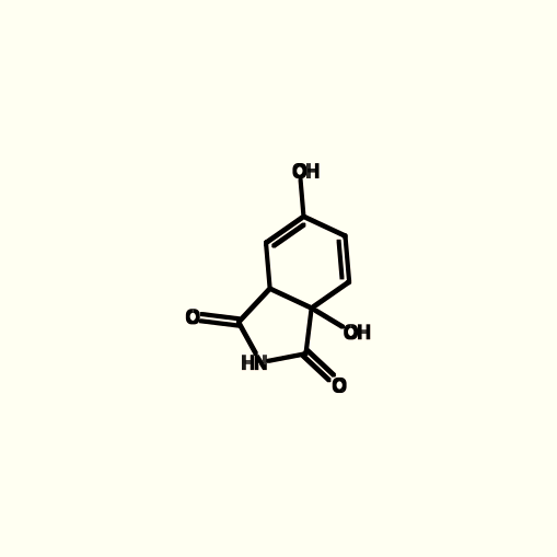 O=C1NC(=O)C2(O)C=CC(O)=CC12